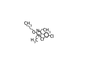 CCCCCOc1nc(CC)c(-c2ccc(Cl)cc2Cl)nc1CC